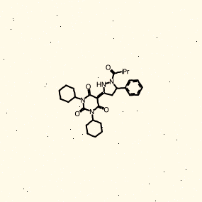 CC(C)C(=O)N1NC(=C2C(=O)N(C3CCCCC3)C(=O)N(C3CCCCC3)C2=O)CC1c1ccccc1